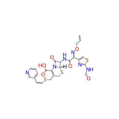 C=CCON=C(C(=O)NC1C(=O)N2C(C(=O)O)=C(CS/C=C\c3cccnc3)CS[C@@H]12)c1csc(NC=O)n1